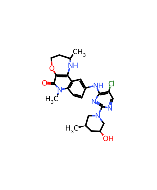 CC1CCOc2c(c3cc(Nc4nc(N5C[C@H](C)C[C@H](O)C5)ncc4Cl)ccc3n(C)c2=O)N1